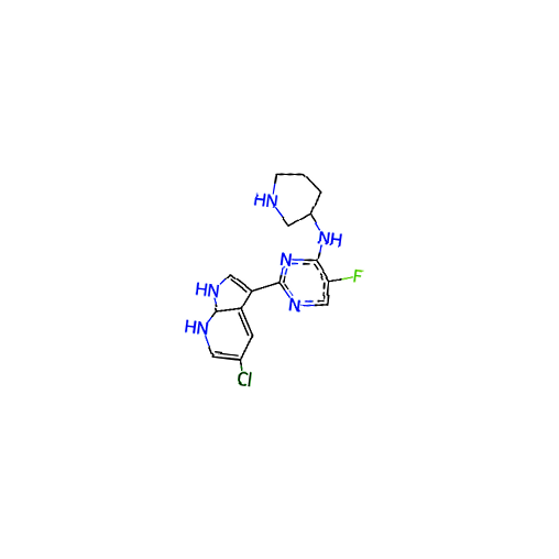 Fc1cnc(C2=CNC3NC=C(Cl)C=C23)nc1NC1CCCNC1